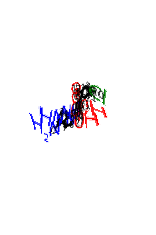 NC1NCNC2C1CCN2[C@@H]1O[C@H]([C@H]2OC(=O)c3cc(Cl)ccc32)[C@@H](O)[C@H]1O